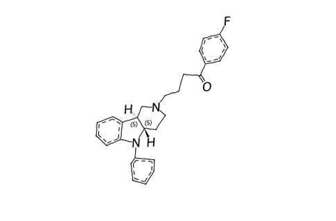 O=C(CCCN1CC[C@H]2[C@H](C1)c1ccccc1N2c1ccccc1)c1ccc(F)cc1